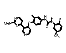 CNc1nccc(-c2cnccc2Oc2ccc(NC(=O)Nc3cc(C(F)(F)F)ccc3F)cc2C)n1